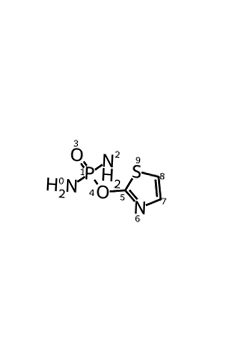 NP(N)(=O)Oc1nccs1